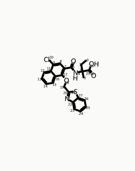 CCC(C)(NC(=O)c1cc(Cl)c2ccccc2c1OCc1nc2ccccc2s1)C(=O)O